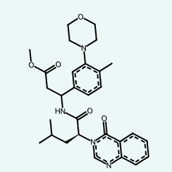 COC(=O)CC(NC(=O)[C@H](CC(C)C)n1cnc2ccccc2c1=O)c1ccc(C)c(N2CCOCC2)c1